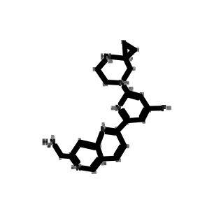 NCc1cc2nc(-c3cc(F)cc(N4CCNC5(CC5)C4)n3)ccc2cn1